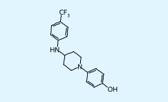 Oc1ccc(N2CCC(Nc3ccc(C(F)(F)F)cc3)CC2)cc1